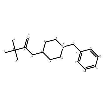 CC(C)(C)C(=O)CC1CCN(Cc2ccccc2)CC1